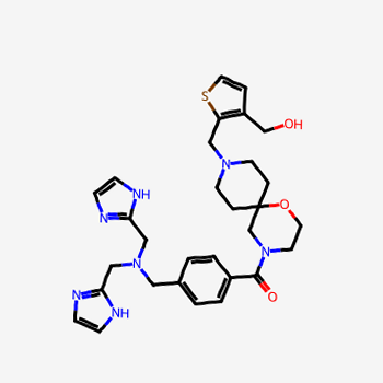 O=C(c1ccc(CN(Cc2ncc[nH]2)Cc2ncc[nH]2)cc1)N1CCOC2(CCN(Cc3sccc3CO)CC2)C1